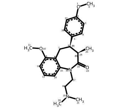 COc1ccc([C@@H]2Cc3c(OC)cccc3N(CCN(C)C)C(=O)[C@@H]2C)cc1